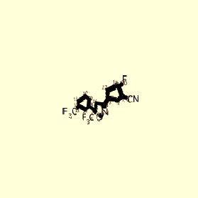 N#Cc1cc(C2=NOC(c3cccc(C(F)(F)F)c3)(C(F)(F)F)C2)ccc1F